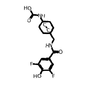 O=C(O)NC12CCC(CNC(=O)c3cc(F)c(O)c(F)c3)(CC1)CC2